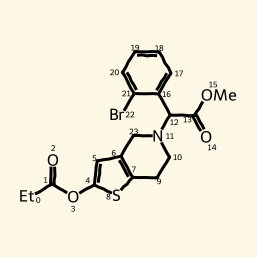 CCC(=O)Oc1cc2c(s1)CCN(C(C(=O)OC)c1ccccc1Br)C2